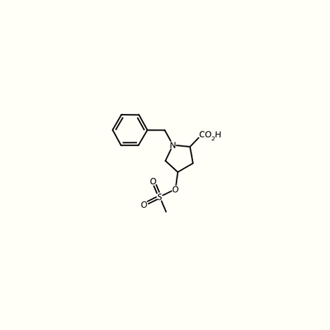 CS(=O)(=O)OC1CC(C(=O)O)N(Cc2ccccc2)C1